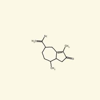 C=C(C(C)=O)C1CCC(C)C2CC(=O)C(C)=C2C1